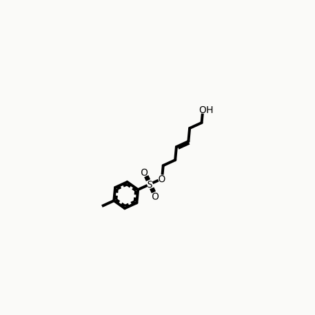 Cc1ccc(S(=O)(=O)OCCC=CCCO)cc1